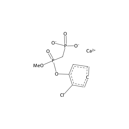 COP(=O)(CP(=O)([O-])[O-])Oc1ccccc1Cl.[Ca+2]